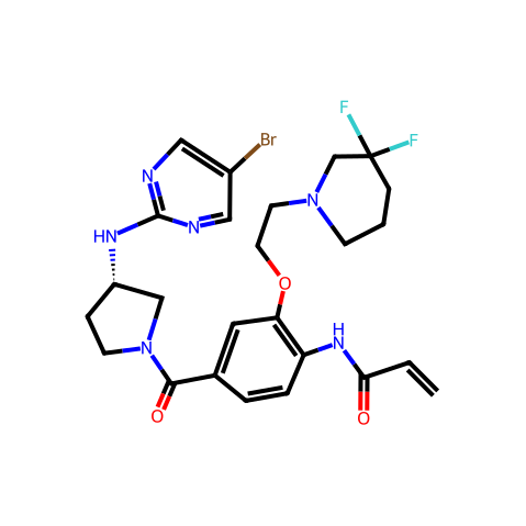 C=CC(=O)Nc1ccc(C(=O)N2CC[C@H](Nc3ncc(Br)cn3)C2)cc1OCCN1CCCC(F)(F)C1